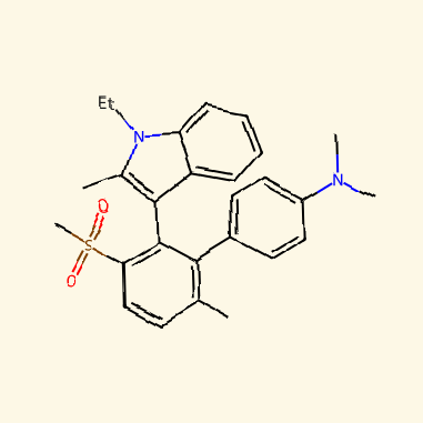 CCn1c(C)c(-c2c(S(C)(=O)=O)ccc(C)c2-c2ccc(N(C)C)cc2)c2ccccc21